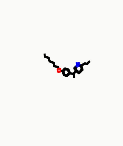 CCCCCCCOc1ccc(C(C)c2ccc(CCC)nc2)cc1